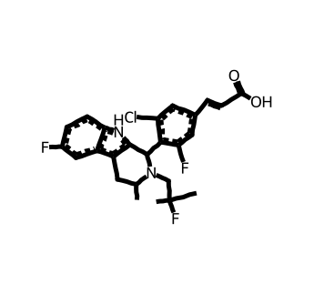 CC1Cc2c([nH]c3ccc(F)cc23)C(c2c(F)cc(/C=C/C(=O)O)cc2Cl)N1CC(C)(C)F